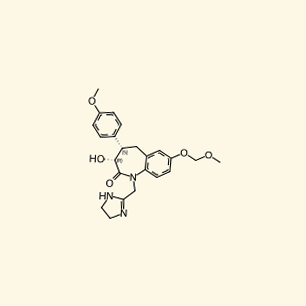 COCOc1ccc2c(c1)C[C@@H](c1ccc(OC)cc1)[C@@H](O)C(=O)N2CC1=NCCN1